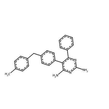 Cc1ccc(Cc2ccc(-c3c(N)nc(N)nc3-c3ccccc3)cc2)cc1